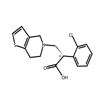 O=C(O)[C@H](CN1CCc2sccc2C1)c1ccccc1Cl